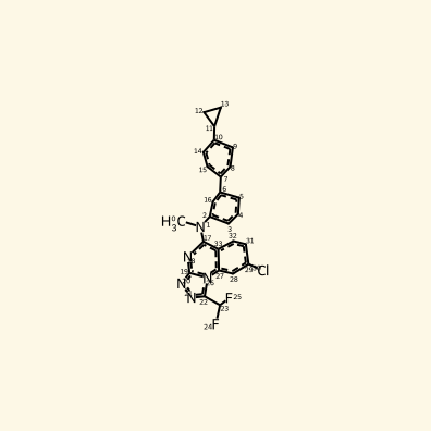 CN(c1cccc(-c2ccc(C3CC3)cc2)c1)c1nc2nnc(C(F)F)n2c2cc(Cl)ccc12